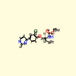 Cc1nccc(-c2ccc(OC[C@](C)(CC(C)C)NC(=O)OC(C)(C)C)c(Cl)c2)n1